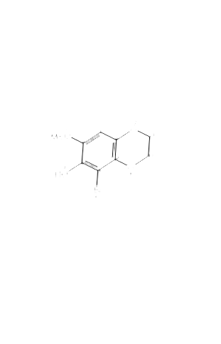 COc1cc2c(c(Br)c1O)OCCO2